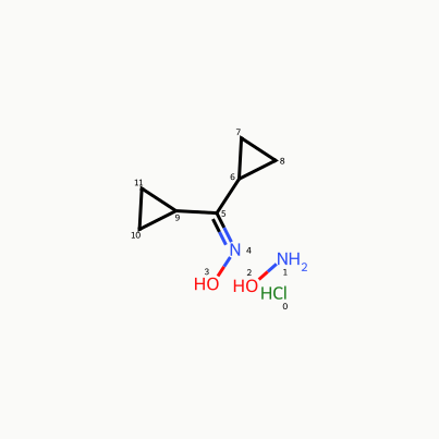 Cl.NO.ON=C(C1CC1)C1CC1